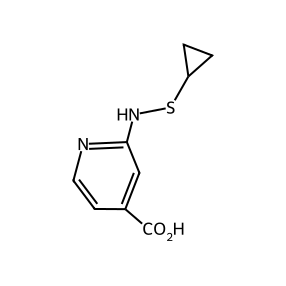 O=C(O)c1ccnc(NSC2CC2)c1